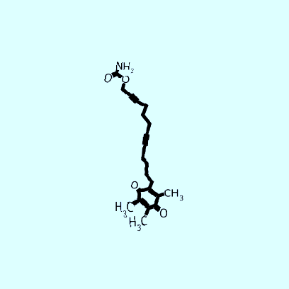 CC1=C(C)C(=O)C(CCCCC#CCCCC#CCOC(N)=O)=C(C)C1=O